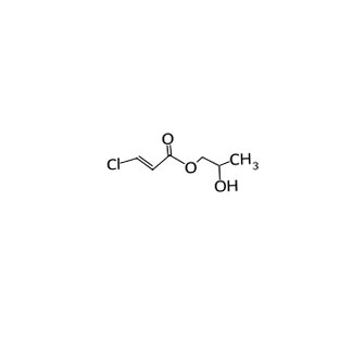 CC(O)COC(=O)C=CCl